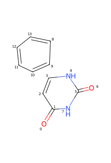 O=c1cc[nH]c(=O)[nH]1.c1ccccc1